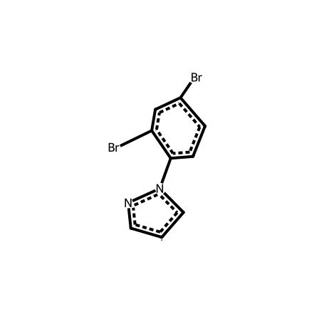 Brc1ccc(-n2c[c]cn2)c(Br)c1